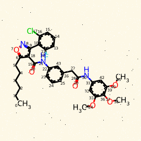 CCCCCCc1onc(-c2c(F)cccc2Cl)c1C(=O)Nc1cccc(CC(=O)Nc2cc(OC)c(OC)c(OC)c2)c1